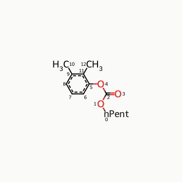 CCCCCOC(=O)Oc1cccc(C)c1C